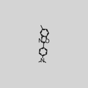 Cc1ccc2oc(-c3ccc(N(C)C)cc3)nc2c1